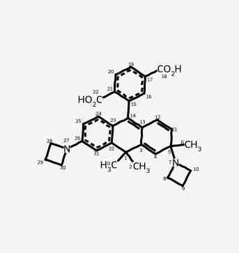 CC1(C)C2=CC(C)(N3CCC3)C=CC2=C(c2cc(C(=O)O)ccc2C(=O)O)c2ccc(N3CCC3)cc21